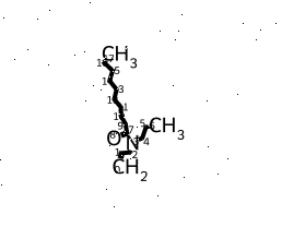 C=CCN(CCC)C(=O)CCCCCCCCC